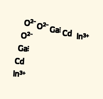 [Cd].[Cd].[Ga].[Ga].[In+3].[In+3].[O-2].[O-2].[O-2]